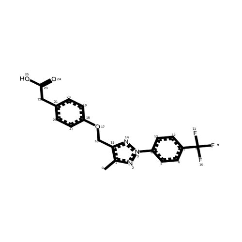 Cc1nn(-c2ccc(C(F)(F)F)cc2)nc1COc1ccc(CC(=O)O)cc1